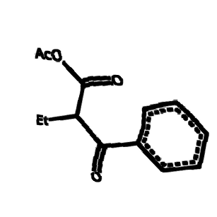 CCC(C(=O)OC(C)=O)C(=O)c1ccccc1